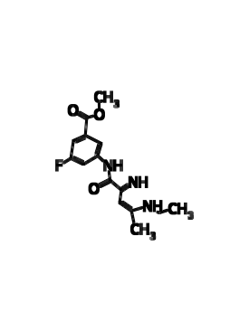 CCN/C(C)=C\C(=N)C(=O)Nc1cc(F)cc(C(=O)OC)c1